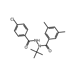 Cc1cc(C)cc(C(=O)N(NC(=O)c2ccc(Cl)cc2)C(C)(C)C)c1